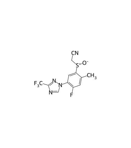 Cc1cc(F)c(-n2cnc(C(F)(F)F)n2)cc1[S+]([O-])CC#N